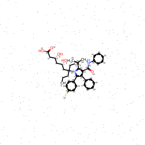 CCCC(CC)(C[C@@H](O)C[C@@H](O)CC(=O)O)n1c(-c2ccc(F)cc2)c(-c2ccccc2)c(C(=O)Nc2ccccc2)c1C(C)C